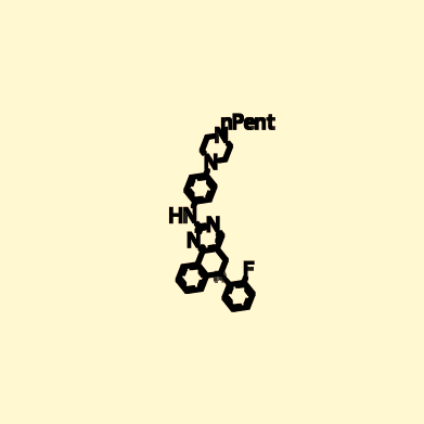 CCCCCN1CCN(c2ccc(Nc3ncc4c(n3)-c3ccccc3[C@H](c3ccccc3F)C4)cc2)CC1